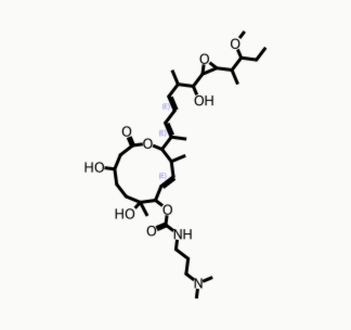 CCC(OC)C(C)C1OC1C(O)C(C)/C=C/C=C(\C)C1OC(=O)CC(O)CCC(C)(O)C(OC(=O)NCCCN(C)C)/C=C/C1C